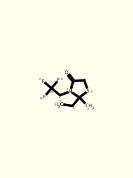 CCC1(C)SCC(=O)N1CC(F)(F)F